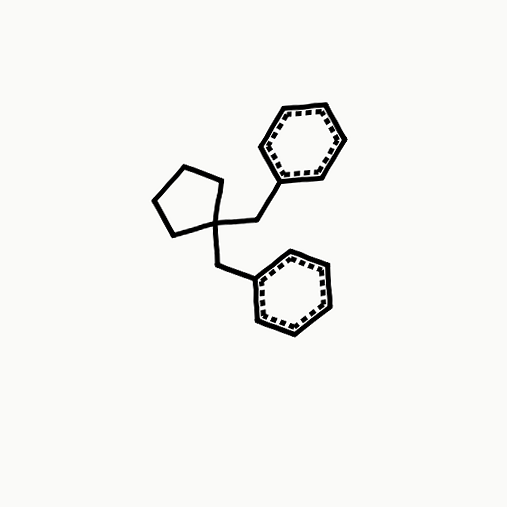 c1ccc(CC2(Cc3ccccc3)CCCC2)cc1